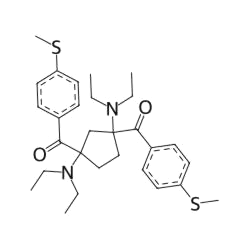 CCN(CC)C1(C(=O)c2ccc(SC)cc2)CCC(C(=O)c2ccc(SC)cc2)(N(CC)CC)C1